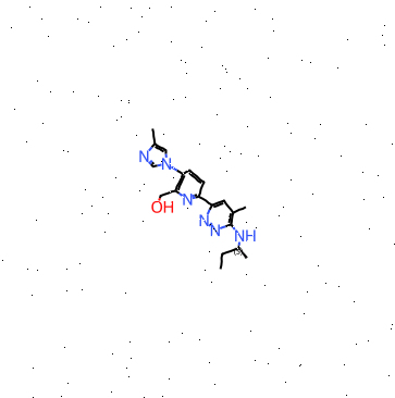 CC[C@H](C)Nc1nnc(-c2ccc(-n3cnc(C)c3)c(CO)n2)cc1C